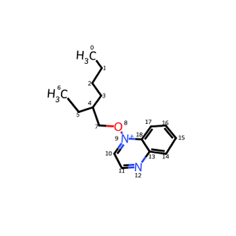 CCCCC(CC)CO[n+]1ccnc2ccccc21